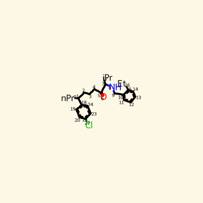 CCCC(CCCC(=O)C(NCc1ccccc1CC)C(C)C)c1ccc(Cl)cc1